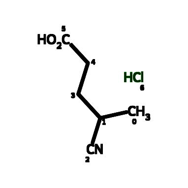 CC(C#N)CCC(=O)O.Cl